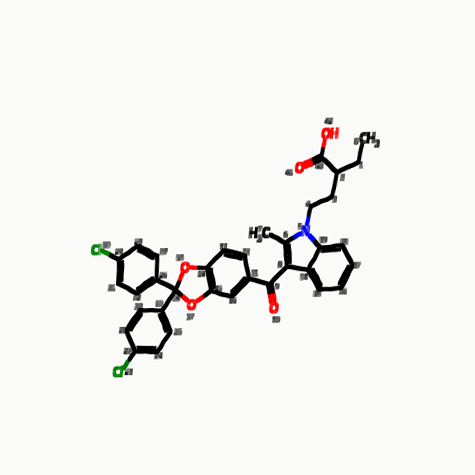 CCC(CCn1c(C)c(C(=O)c2ccc3c(c2)OC(c2ccc(Cl)cc2)(c2ccc(Cl)cc2)O3)c2ccccc21)C(=O)O